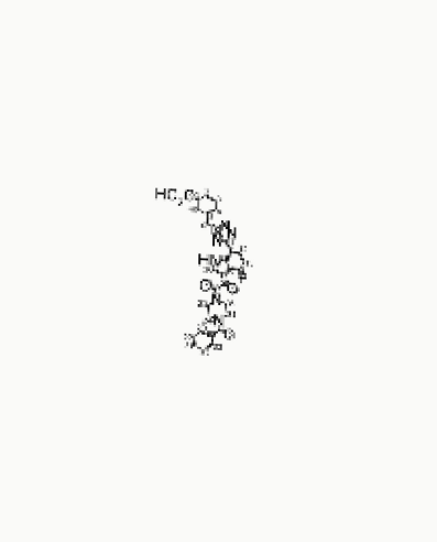 O=C(O)c1cccc(Cn2nnc(-c3ccc(F)c4c(C(=O)C(=O)N5CCN(C(=O)c6ccccc6)CC5)c[nH]c34)n2)c1